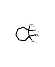 NC1(N)CCCCCC1(N)N